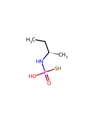 CC[C@H](C)NP(=O)(O)S